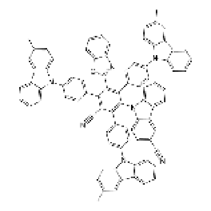 Cc1ccc2c(c1)c1ccccc1n2-c1ccc(-c2c(C#N)c(-c3ccc(-n4c5ccccc5c5cc(C)ccc54)cc3)c(-n3c4ccccc4c4cc(C#N)ccc43)c(-c3ccc(-n4c5ccccc5c5cc(C)ccc54)cc3)c2-c2nc3ccccc3o2)cc1